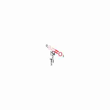 [B]=O.[Si].[Ti]